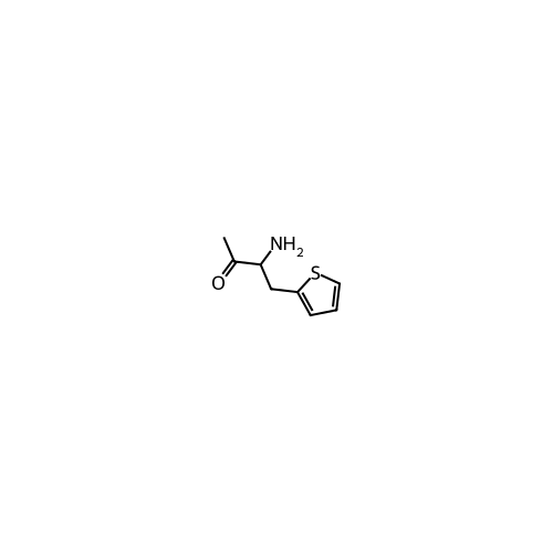 CC(=O)C(N)Cc1cccs1